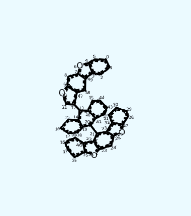 c1ccc2c(c1)oc1cc3occ(-c4c5ccccc5c(-c5c6c(cc7oc8ccccc8c57)oc5ccccc56)c5ccccc45)c3cc12